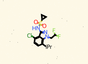 CC(C)c1ccc(Cl)c2c(NS(=O)(=O)C3CC3)nn(CC(F)F)c12